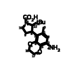 Cc1cc(N)c2c(c1C1CCN(C(=O)O)C1C(C)(C)C)OCCO2